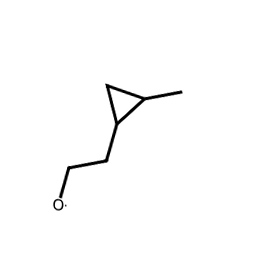 CC1CC1CC[O]